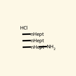 CCCCCCCC.CCCCCCCC.CCCCCCCC.CN.Cl